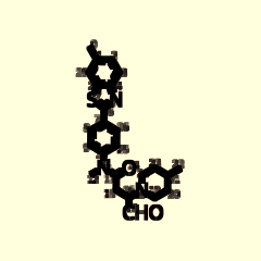 Cc1ccc2nc(-c3ccc(N(C)C(=O)CC(C=O)N4CCC(C)CC4)cc3)sc2c1